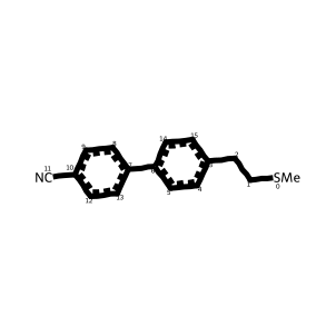 CSCCc1ccc(-c2ccc(C#N)cc2)cc1